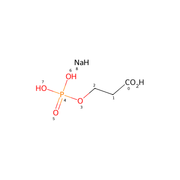 O=C(O)CCOP(=O)(O)O.[NaH]